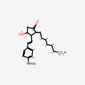 CC(=O)Nc1ccc(/C=C/C2C(O)CC(=O)C2CCCCCCC(=O)O)cc1